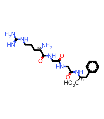 N=C(N)NCCC[C@H](N)C(=O)NCC(=O)NCC(=O)N[C@@H](Cc1ccccc1)C(=O)O